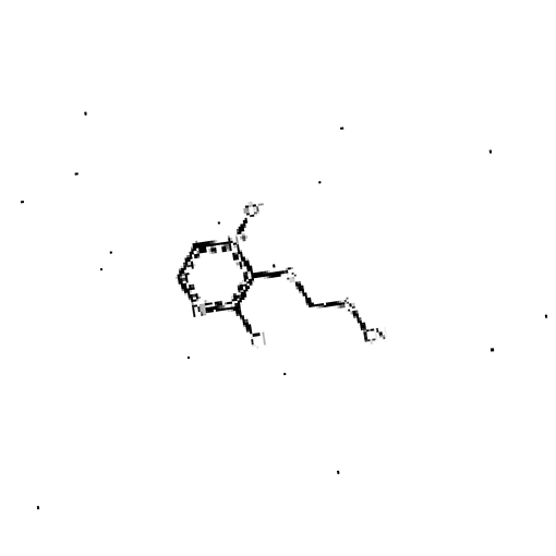 N#CSCSc1c(Cl)ncc[n+]1[O-]